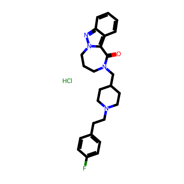 Cl.O=C1c2c3ccccc3nn2CCCN1CC1CCN(CCc2ccc(F)cc2)CC1